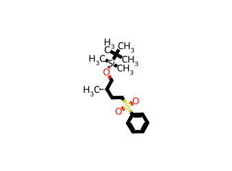 C[C@@H](CCS(=O)(=O)c1ccccc1)CO[Si](C)(C)C(C)(C)C